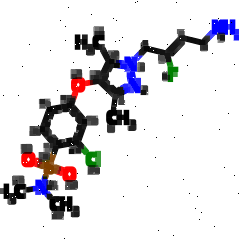 Cc1nn(C/C(F)=C/CN)c(C)c1Oc1ccc(S(=O)(=O)N(C)C)c(Cl)c1